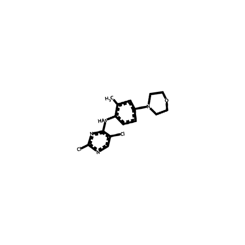 Cc1cc(N2CCOCC2)ccc1[AsH]c1nc(Cl)ncc1Cl